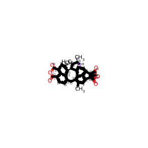 Cc1cc2c3c(ccc4c3c1Cc1ccc3c5c(cc(C)c(c15)[C@H]4[C@H](C)[C@H](C)I)C(=O)OC3=O)C13CC21C(=O)OC3=O